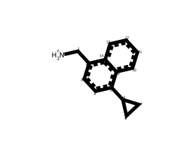 NCc1ccc(C2CC2)c2ccccc12